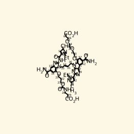 CCn1nc(C)cc1C(=O)Nc1nc2cc(C(N)=O)cc(OCCCOC(=O)NCCC(=O)O)c2n1CC=CCn1c2nc(-c3cc(C)nn3CC)ncc2c2cc(C(N)=O)cc(OCCOCCOCCC(=O)O)c21